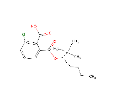 CCCCC(OC(=O)c1cccc(Cl)c1C(=O)O)C(C)(C)C